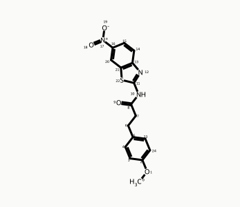 COc1ccc(CCC(=O)Nc2nc3ccc([N+](=O)[O-])cc3s2)cc1